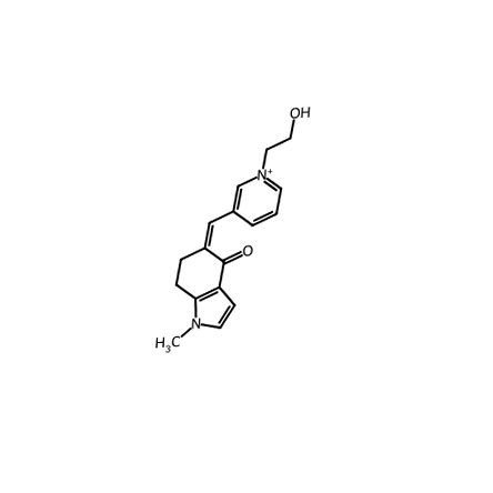 Cn1ccc2c1CCC(=Cc1ccc[n+](CCO)c1)C2=O